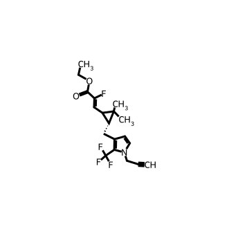 C#CCn1ccc(C[C@@H]2C(/C=C(\F)C(=O)OCC)C2(C)C)c1C(F)(F)F